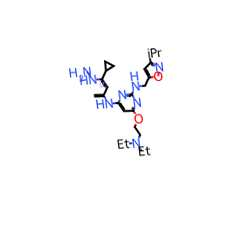 C=C(/C=C(\NN)C1CC1)Nc1cc(OCCN(CC)CC)nc(NCc2cc(C(C)C)no2)n1